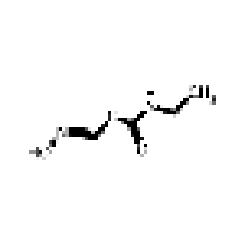 CCNC(=O)OC=NO